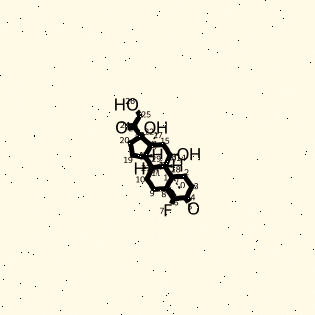 C[C@]12CCC(=O)C(F)=C1CC[C@@H]1[C@@H]2[C@@H](O)C[C@@]2(C)[C@H]1CC[C@]2(O)C(=O)CO